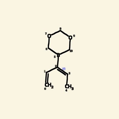 C=C/C(=C\C)B1COCOC1